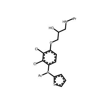 CC(=O)N(c1cccs1)c1ccc(OCC(O)CNC(C)C)c(Cl)c1Cl